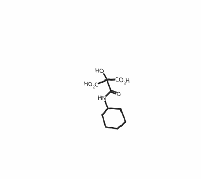 O=C(O)C(O)(C(=O)O)C(=O)NC1CCCCC1